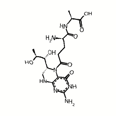 C[C@H](NC(=O)[C@H](N)CCC(=O)N1c2c(nc(N)[nH]c2=O)NC[C@@H]1[C@@H](O)[C@H](C)O)C(=O)O